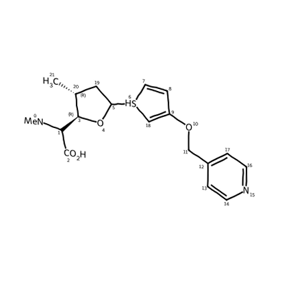 CNC(C(=O)O)[C@@H]1OC([SH]2C=CC(OCc3ccncc3)=C2)C[C@H]1C